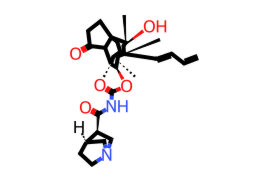 C=CC=C[C@]1(C)C[C@@H](OC(=O)NC(=O)[C@H]2CN3CC[C@@H]2C3)[C@@]2(C)C3C(=O)CCC3(CC[C@H]2C)[C@@H](C)[C@@H]1O